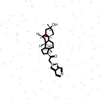 C[C@@]1(O)CC[C@]23CO[C@H](C[C@@H]4C2CC[C@]2(C)[C@@H](C(=O)Cn5cc6ccncc6n5)CC[C@@H]42)C3C1